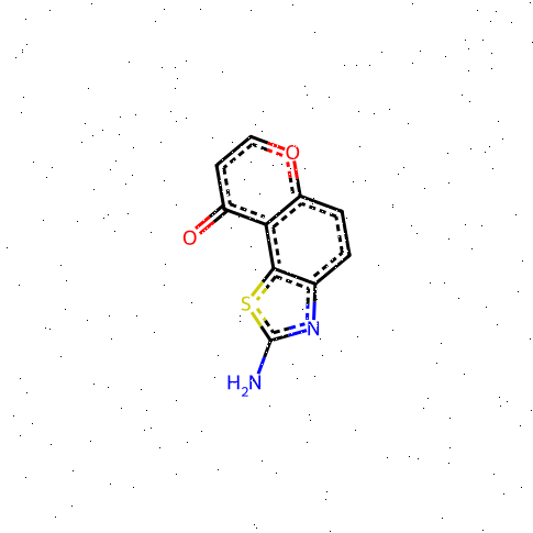 Nc1nc2ccc3occc(=O)c3c2s1